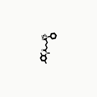 Cc1ccc(C)c(N(C)C(=O)CCCc2nnnn2-c2ccccc2)c1